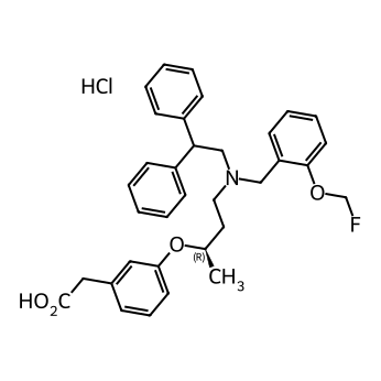 C[C@H](CCN(Cc1ccccc1OCF)CC(c1ccccc1)c1ccccc1)Oc1cccc(CC(=O)O)c1.Cl